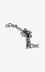 CCCCCCCCCCCCCCCCCC(=O)N[C@H]1CCCC[C@H]1NC(=O)CCCCCCCCCCCCCCCCC